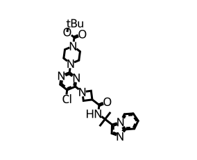 CC(C)(C)OC(=O)N1CCN(c2ncc(Cl)c(N3CC(C(=O)NC(C)(C)c4cnc5ccccn45)C3)n2)CC1